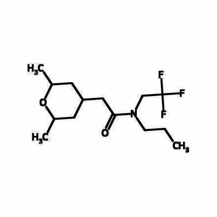 CCCN(CC(F)(F)F)C(=O)CC1CC(C)OC(C)C1